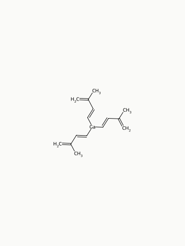 C=C(C)C=[CH][Ga]([CH]=CC(=C)C)[CH]=CC(=C)C